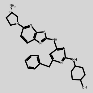 N[C@H]1CCN(c2ccc3nc(Nc4cc(Cc5ccccc5)nc(NC5CCC(O)CC5)n4)sc3n2)C1